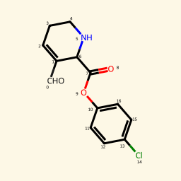 O=CC1=CCCNC1C(=O)Oc1ccc(Cl)cc1